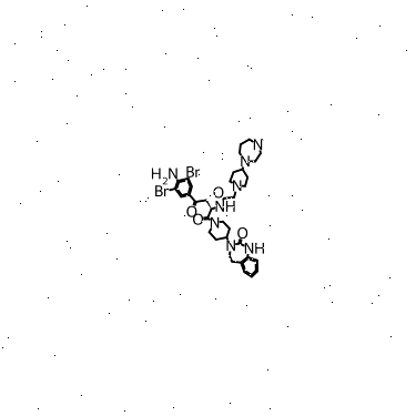 CN1CCCN(C2CCN(CC(=O)N[C@H](CC(=O)c3cc(Br)c(N)c(Br)c3)C(=O)N3CCC(N4CCc5ccccc5NC4=O)CC3)CC2)CC1